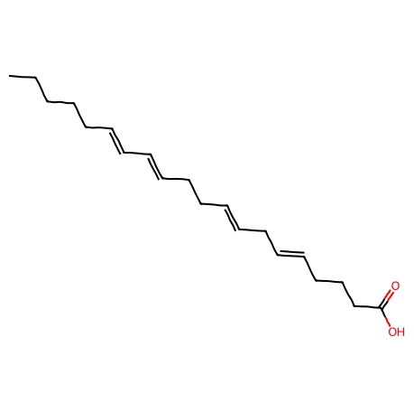 CCCCC/C=C/C=C/CC/C=C/C/C=C/CCCC(=O)O